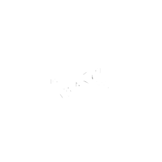 O=C(O)c1cc(N2CC3C4C=CC(CO)(O4)C3C2)ccc1Cl